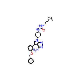 CCCCNC(=O)N[C@H]1CC[C@@H](n2cc(-c3cccc(OCc4ccccc4)c3)c3c(N)ncnc32)CC1